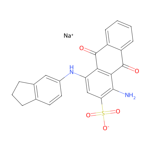 Nc1c(S(=O)(=O)[O-])cc(Nc2ccc3c(c2)CCC3)c2c1C(=O)c1ccccc1C2=O.[Na+]